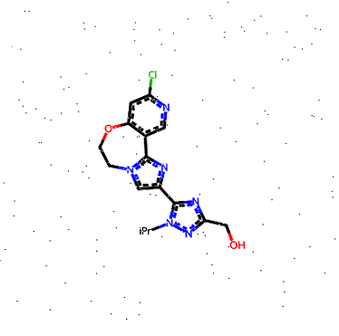 CC(C)n1nc(CO)nc1-c1cn2c(n1)-c1cnc(Cl)cc1OCC2